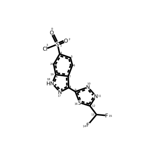 O=S(=O)(Cl)c1ccc2c(-c3nnc(C(F)F)s3)n[nH]c2c1